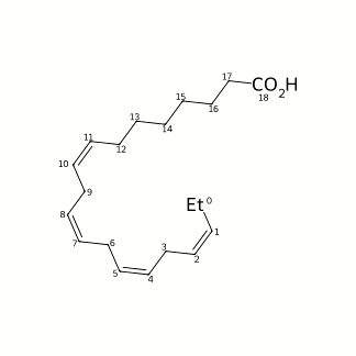 CC/C=C\C/C=C\C/C=C\C/C=C\CCCCCCC(=O)O